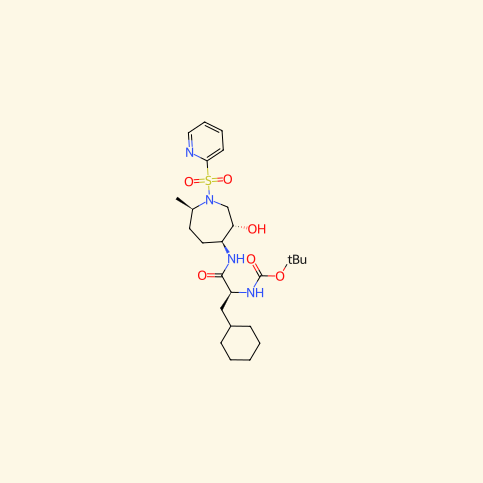 C[C@@H]1CC[C@H](NC(=O)[C@H](CC2CCCCC2)NC(=O)OC(C)(C)C)[C@@H](O)CN1S(=O)(=O)c1ccccn1